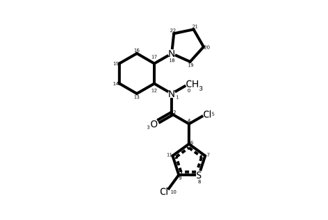 CN(C(=O)C(Cl)c1csc(Cl)c1)C1CCCCC1N1CCCC1